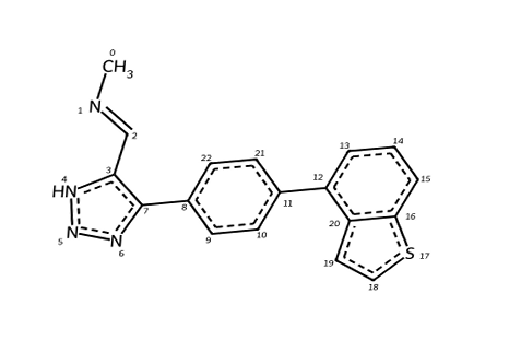 C/N=C/c1[nH]nnc1-c1ccc(-c2cccc3sccc23)cc1